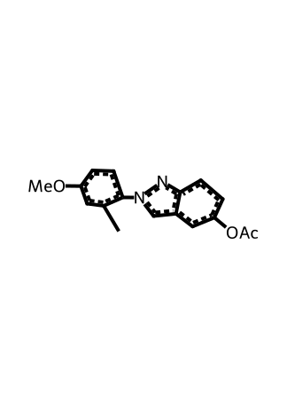 COc1ccc(-n2cc3cc(OC(C)=O)ccc3n2)c(C)c1